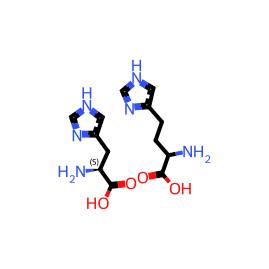 NC(CCc1c[nH]cn1)C(=O)O.N[C@@H](Cc1c[nH]cn1)C(=O)O